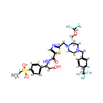 CCS(=O)(=O)c1ccc([C@H](CO)NC(=O)c2cnc(CN3CCN(Cc4ccc(C(F)(F)F)cc4)C[C@H]3COC(F)F)s2)cc1